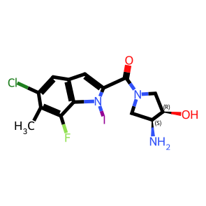 Cc1c(Cl)cc2cc(C(=O)N3C[C@@H](O)[C@@H](N)C3)n(I)c2c1F